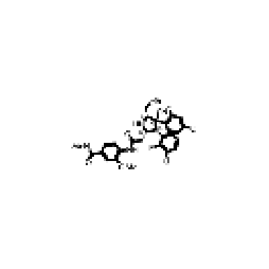 CNC(=O)c1ccc(NC(=O)C[C@@H]2N[C@@H](CC(C)(C)C)[C@](C#N)(c3ccc(Cl)cc3F)[C@H]2c2cccc(Cl)c2F)c(OC)c1